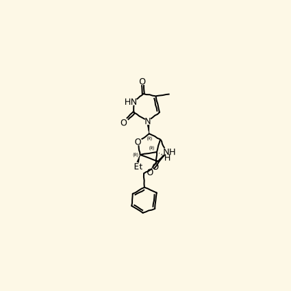 CC[C@]12O[C@@H](n3cc(C)c(=O)[nH]c3=O)C(NC1=O)[C@H]2OCc1ccccc1